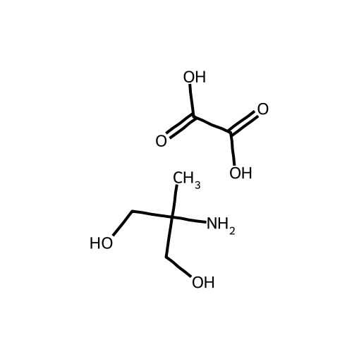 CC(N)(CO)CO.O=C(O)C(=O)O